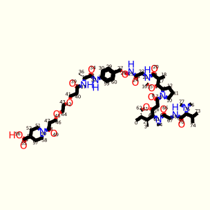 CC[C@H](C)C(C(CC(=O)N1CCCC1C(OC)C(C)C(=O)NCC(=O)NOCc1ccc(NC(=O)[C@@H](C)NC(=O)CCOCCOCCC(=O)N2CCC(C(=O)O)CC2)cc1)OC)N(C)C(=O)CNC(=O)C(C(C)C)N(C)C